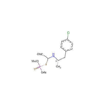 COP(=S)(OC)SC(C=O)N[C@@H](C)Cc1ccc(Cl)cc1